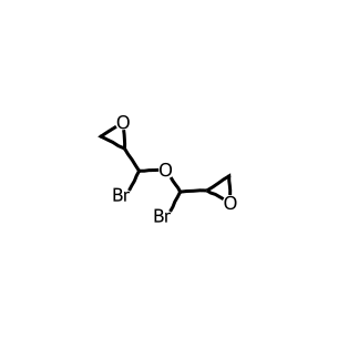 BrC(OC(Br)C1CO1)C1CO1